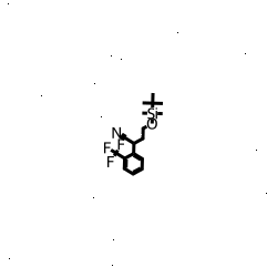 CC(C)(C)[Si](C)(C)OCCC(C#N)c1ccccc1C(F)(F)F